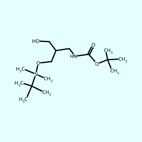 CC(C)(C)OC(=O)NCC(CO)CO[Si](C)(C)C(C)(C)C